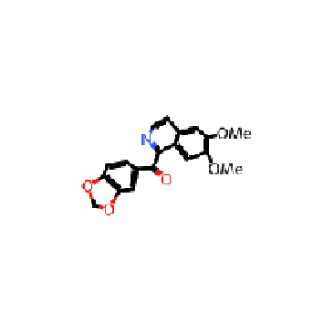 COc1cc2ccnc(C(=O)c3ccc4c(c3)OCO4)c2cc1OC